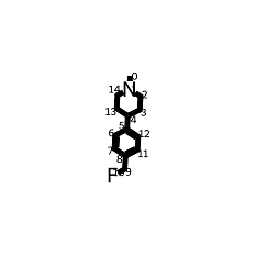 CN1CCC(c2ccc(CF)cc2)CC1